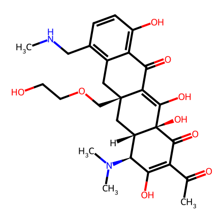 CNCc1ccc(O)c2c1C[C@@]1(COCCO)C[C@H]3[C@H](N(C)C)C(O)=C(C(C)=O)C(=O)[C@@]3(O)C(O)=C1C2=O